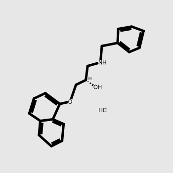 Cl.O[C@@H](CNCc1ccccc1)COc1cccc2ccccc12